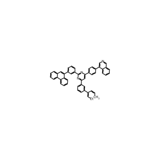 C/C=C\C(=C/CC)c1cccc(-c2cc(-c3ccc(-c4cncc5ccccc45)cc3)nc(-c3cccc(-c4cc5ccccc5c5ccccc45)c3)n2)c1